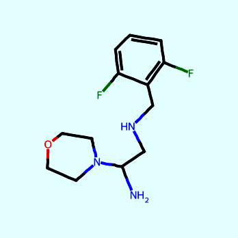 NC(CNCc1c(F)cccc1F)N1CCOCC1